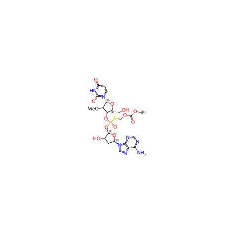 COC1C(OP(=O)(O[C@H]2O[C@@H](n3cnc4c(N)ncnc43)CC2O)SCOC(=O)OC(C)C)[C@@H](CO)O[C@H]1n1ccc(=O)[nH]c1=O